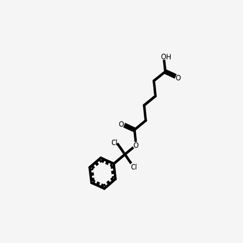 O=C(O)CCCCC(=O)OC(Cl)(Cl)c1ccccc1